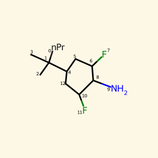 CCCC(C)(C)C1CC(F)C(N)C(F)C1